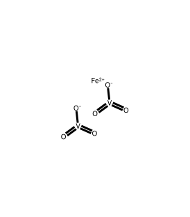 [Fe+2].[O]=[V](=[O])[O-].[O]=[V](=[O])[O-]